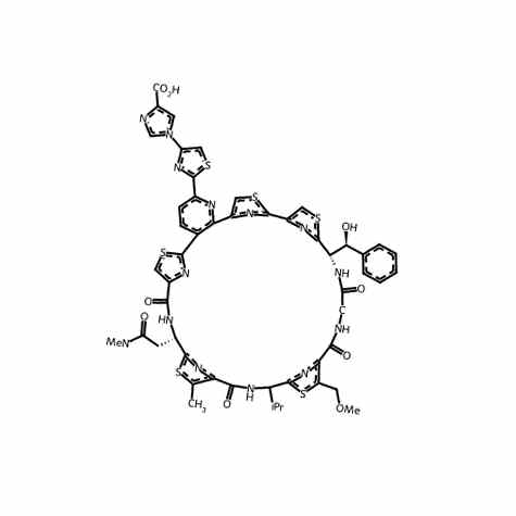 CNC(=O)C[C@@H]1NC(=O)c2csc(n2)-c2ccc(-c3nc(-n4cnc(C(=O)O)c4)cs3)nc2-c2csc(n2)-c2csc(n2)[C@H]([C@@H](O)c2ccccc2)NC(=O)CNC(=O)c2nc(sc2COC)C(C(C)C)NC(=O)c2nc1sc2C